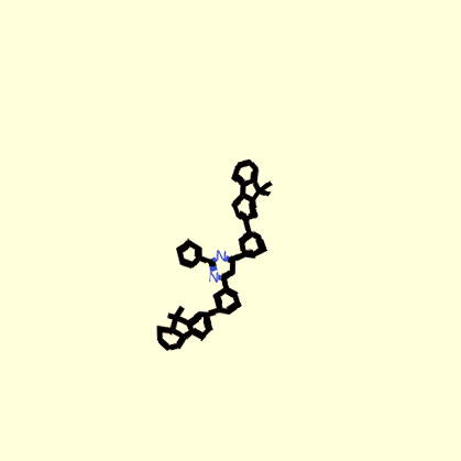 CC1(C)c2ccccc2-c2ccc(-c3cccc(-c4cc(-c5cccc(-c6ccc7c(c6)C(C)(C)c6ccccc6-7)c5)nc(-c5ccccc5)n4)c3)cc21